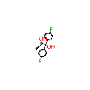 C#C[C@H](O)C(O)(c1ccc(F)cc1)c1ccc(F)cc1